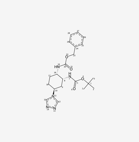 CC(C)(C)OC(=O)N[C@@H]1C[C@@H](n2cnnc2)CC[C@@H]1NC(=O)OCc1ccccc1